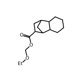 CCOCOC(=O)C1CC2CC1C1CCCCC21